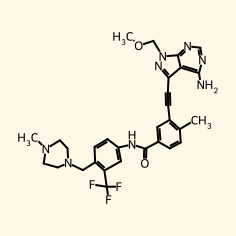 COCn1nc(C#Cc2cc(C(=O)Nc3ccc(CN4CCN(C)CC4)c(C(F)(F)F)c3)ccc2C)c2c(N)ncnc21